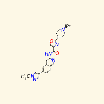 CC(C)N1CCC(c2nc(C(=O)Nc3cc4cc(-c5cnn(C)c5)ccc4cn3)co2)CC1